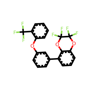 FC(F)(F)c1ccccc1Oc1cccc(-c2[c]ccc3c2OC(F)(F)C(F)(F)O3)c1